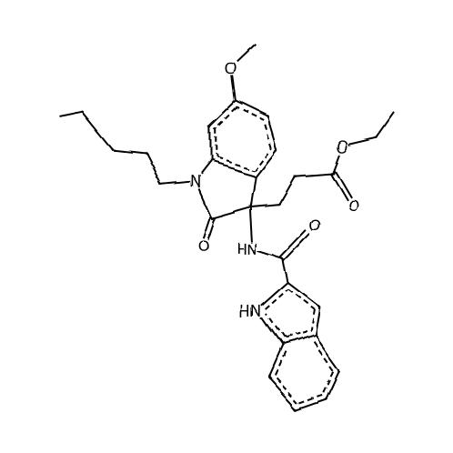 CCCCCN1C(=O)C(CCC(=O)OCC)(NC(=O)c2cc3ccccc3[nH]2)c2ccc(OC)cc21